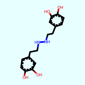 Oc1ccc(CCNNCCc2ccc(O)c(O)c2)cc1O